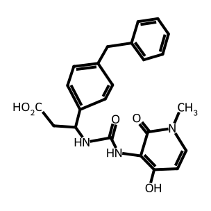 Cn1ccc(O)c(NC(=O)NC(CC(=O)O)c2ccc(Cc3ccccc3)cc2)c1=O